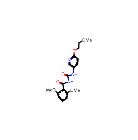 COCCOc1ccc(NC(=O)NC(=O)c2c(OC)cccc2OC)cn1